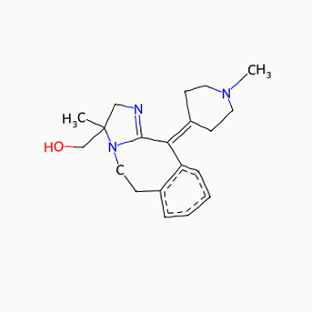 CN1CCC(=C2C3=NCC(C)(CO)N3CCc3ccccc32)CC1